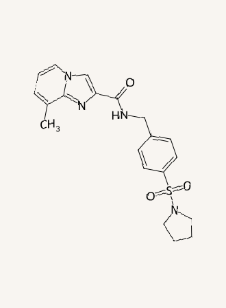 Cc1cccn2cc(C(=O)NCc3ccc(S(=O)(=O)N4CCCC4)cc3)nc12